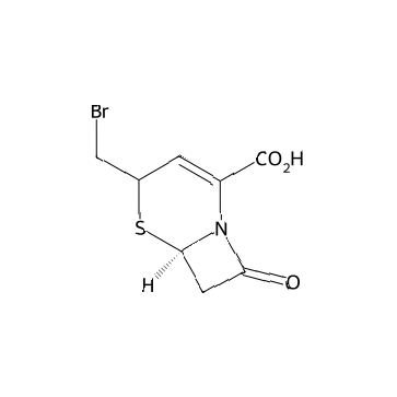 O=C(O)C1=CC(CBr)S[C@@H]2CC(=O)N12